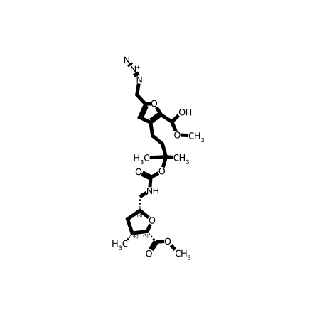 COC(=O)[C@H]1O[C@@H](CNC(=O)OC(C)(C)CCc2cc(CN=[N+]=[N-])oc2C(O)OC)C[C@H]1C